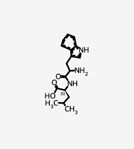 CC(C)C[C@H](NC(=O)C(N)Cc1c[nH]c2ccccc12)C(=O)O